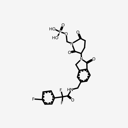 O=C1CCC(N2Cc3cc(CNC(=O)C(F)(F)c4ccc(F)cc4)ccc3C2=O)C(=O)N1COP(=O)(O)O